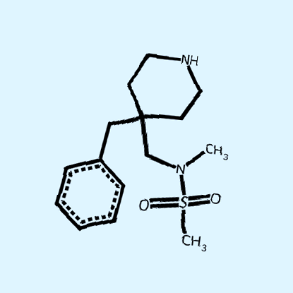 CN(CC1(Cc2ccccc2)CCNCC1)S(C)(=O)=O